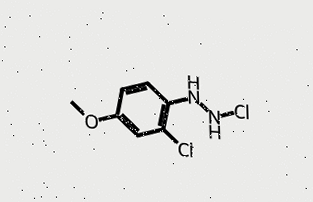 COc1ccc(NNCl)c(Cl)c1